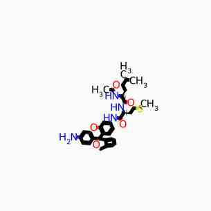 CSCC[C@H](NC(=O)[C@H](CCC(C)C)NC(C)=O)C(=O)Nc1ccc2c(c1)Oc1cc(N)ccc1C21OCc2ccccc21